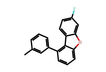 Cc1cccc(-c2cccc3oc4cc(F)ccc4c23)c1